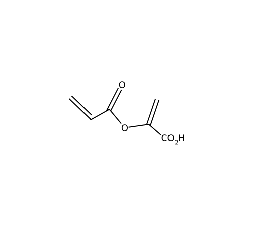 C=CC(=O)OC(=C)C(=O)O